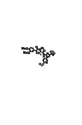 COc1ccc(C(C)C(=O)N(CC(=O)Nc2nc(C3(C)CC3)cn2-c2ccc(C)nc2)C(C)C)cc1OC